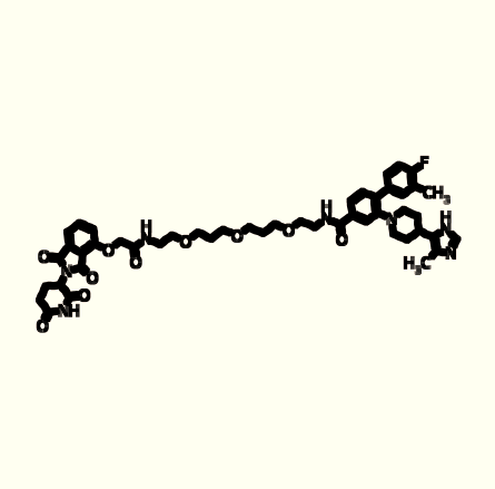 Cc1cc(-c2ccc(C(=O)NCCOCCCOCCCOCCNC(=O)COc3cccc4c3C(=O)N(C3CCC(=O)NC3=O)C4=O)cc2N2CCC(c3[nH]cnc3C)CC2)ccc1F